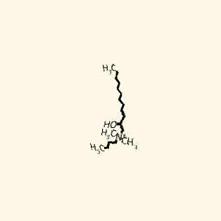 CCCCCCCCCCC(O)C[N+](C)(C)CCCC